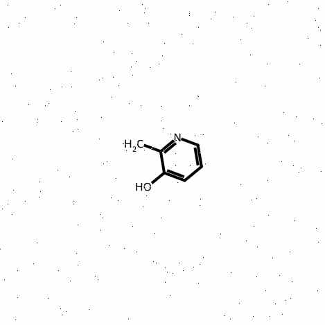 [CH2]c1ncccc1O